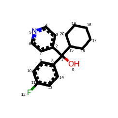 OC(c1ccncc1)(c1ccc(F)cc1)C1CCCCC1